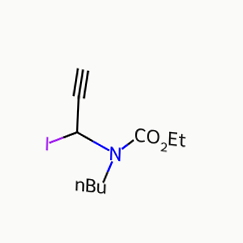 C#CC(I)N(CCCC)C(=O)OCC